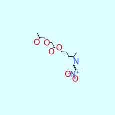 CC(=O)COCC(=O)OCCC/C(C)=N\C=C(/C)[N+](=O)[O-]